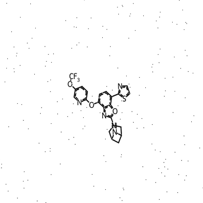 FC(F)(F)Oc1ccc(Oc2ccc(-c3nccs3)c3oc(N4CC5CC(C4)N5)nc23)nc1